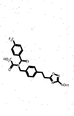 CCCCCCCCc1noc(CCc2ccc(CN(C(=O)C(=O)O)C(CC)c3ccc(C(F)(F)F)cc3)cc2)n1